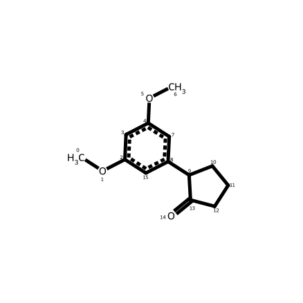 COc1cc(OC)cc(C2CCCC2=O)c1